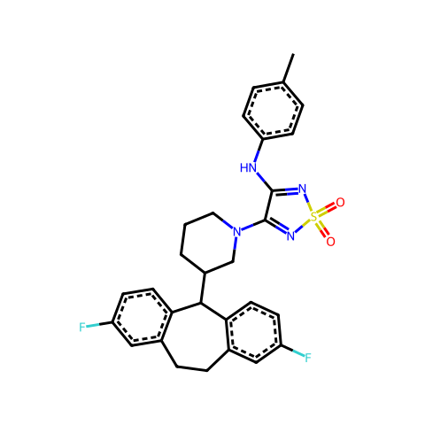 Cc1ccc(NC2=NS(=O)(=O)N=C2N2CCCC(C3c4ccc(F)cc4CCc4cc(F)ccc43)C2)cc1